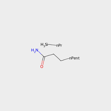 CCCCCCCC(N)=O.CCC[SiH3]